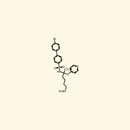 CC(=O)NCCCCC(NS(=O)(=O)c1ccc(-c2ccc(Br)cc2)cc1)(Sc1ccncc1)C(=O)O